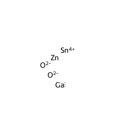 [Ga].[O-2].[O-2].[Sn+4].[Zn]